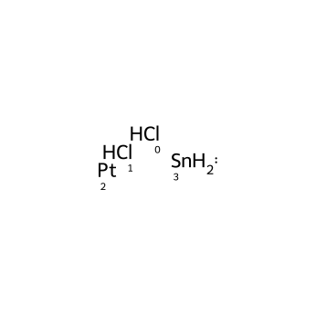 Cl.Cl.[Pt].[SnH2]